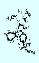 COC(=O)[C@H](CCSC)NC(=O)c1ccc(S(=O)(=O)N=C=O)cc1-c1ccccc1